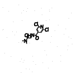 CN(C)C(=O)CNC(=O)c1cc(Cl)nc(Cl)c1